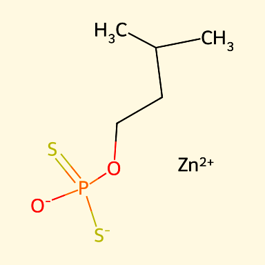 CC(C)CCOP([O-])(=S)[S-].[Zn+2]